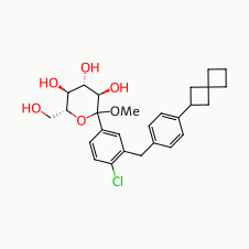 COC1(c2ccc(Cl)c(Cc3ccc(C4CC5(CCC5)C4)cc3)c2)O[C@H](CO)[C@@H](O)[C@H](O)[C@H]1O